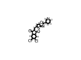 O=C1C(=Cc2cc3oc(-c4cccnc4)nc3s2)C(=O)c2cc(Cl)c(Cl)cc21